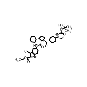 CCOC(=O)c1[nH]c2ccc(NC(=O)[C@@H]3[C@H](C4CCCCC4)CCN3C(=O)[C@H]3CC[C@H]([C@@H](CF)NC(=O)OC(C)(C)C)CC3)cc2c1Cl